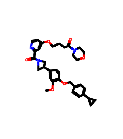 COc1cc(C2CN(C(=O)c3cc(OCCCC(=O)N4CCOCC4)ccn3)C2)ccc1OCc1ccc(C2CC2)cc1